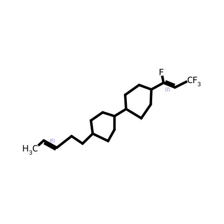 C/C=C/CCC1CCC(C2CCC(/C(F)=C/C(F)(F)F)CC2)CC1